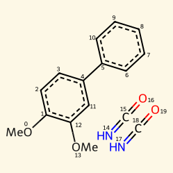 COc1ccc(-c2ccccc2)cc1OC.N=C=O.N=C=O